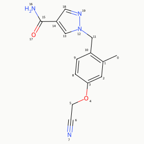 Cc1cc(OCC#N)ccc1Cn1cc(C(N)=O)cn1